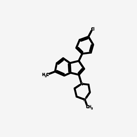 Cc1ccc2c(c1)C(N1CCN(C)CC1)=CC2c1ccc(Cl)cc1